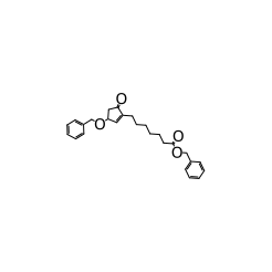 O=C(CCCCCCC1=CC(OCc2ccccc2)CC1=O)OCc1ccccc1